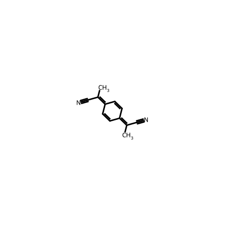 CC(C#N)=c1ccc(=C(C)C#N)cc1